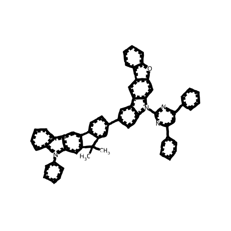 CC1(C)c2cc(-c3ccc4c(c3)c3cc5c(cc3n4-c3nc(-c4ccccc4)cc(-c4ccccc4)n3)oc3ccccc35)ccc2-c2cc3c4ccccc4n(-c4ccccc4)c3cc21